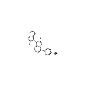 CC1=Cc2c(cccc2-c2ccc(C(C)C)cc2)[C]1C1=C(C)C=C2C=CN=C21